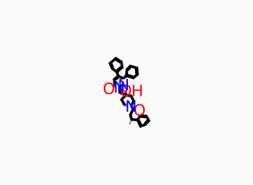 C[C@H](CC(=O)N1CCC(O)(Cn2nc(-c3ccccc3)c(-c3ccccc3)cc2=O)CC1)c1ccccc1